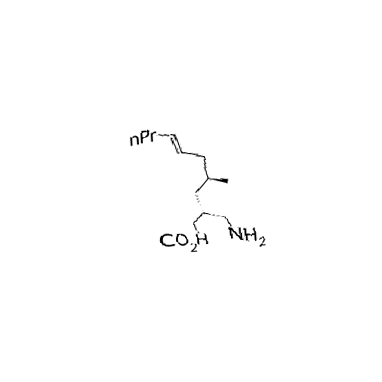 CCCC=CC[C@@H](C)C[C@H](CN)CC(=O)O